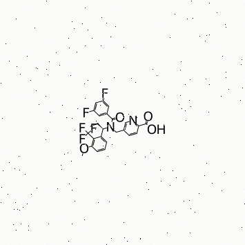 CC[C@H](c1cccc(OC)c1C(F)(F)F)N(Cc1ccc(C(=O)O)nc1)C(=O)c1cc(F)cc(F)c1